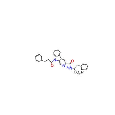 O=C(NC(Cc1ccccc1)C(=O)O)c1cc2c3ccccc3n(C(=O)CCc3ccccc3)c2cn1